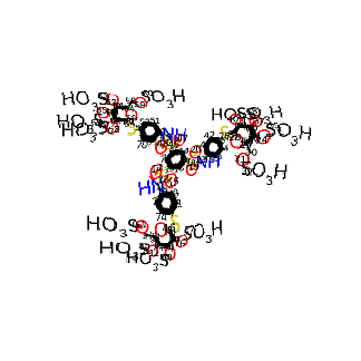 O=S(=O)(O)OC[C@H]1O[C@@H](Sc2ccc(NS(=O)(=O)c3cc(S(=O)(=O)Nc4ccc(S[C@@H]5O[C@H](COS(=O)(=O)O)[C@@H](OS(=O)(=O)O)[C@H](OS(=O)(=O)O)[C@H]5OS(=O)(=O)O)cc4)cc(S(=O)(=O)Nc4ccc(S[C@@H]5O[C@H](COS(=O)(=O)O)[C@@H](OS(=O)(=O)O)[C@H](OS(=O)(=O)O)[C@H]5OS(=O)(=O)O)cc4)c3)cc2)[C@H](OS(=O)(=O)O)[C@@H](OS(=O)(=O)O)[C@@H]1OS(=O)(=O)O